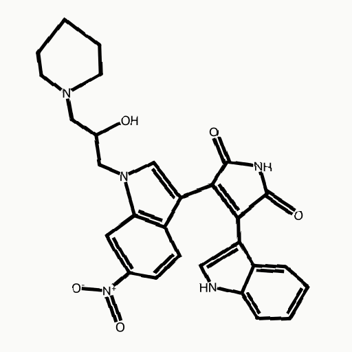 O=C1NC(=O)C(c2cn(CC(O)CN3CCCCC3)c3cc([N+](=O)[O-])ccc23)=C1c1c[nH]c2ccccc12